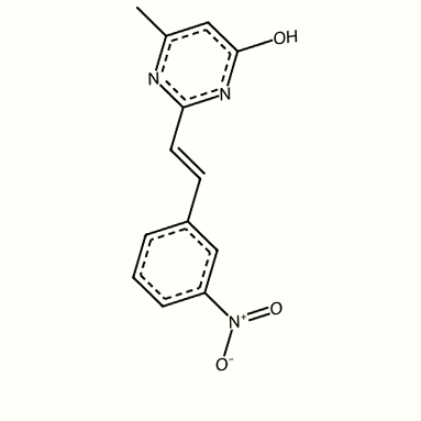 Cc1cc(O)nc(/C=C/c2cccc([N+](=O)[O-])c2)n1